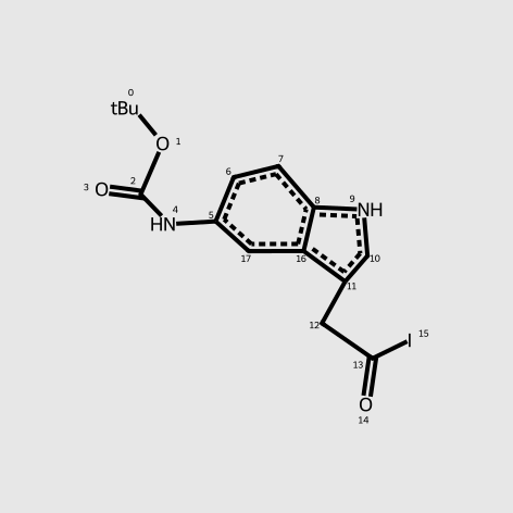 CC(C)(C)OC(=O)Nc1ccc2[nH]cc(CC(=O)I)c2c1